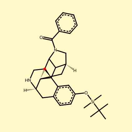 CC(C)(C)[Si](C)(C)Oc1ccc2c(c1)[C@]13CCN[C@H](C2)[C@]12CCC1C3[C@@H](CN1C(=O)c1ccccc1)C2